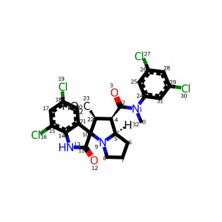 CN(C(=O)[C@H]1[C@H]2CCCN2C2(C(=O)Nc3c(Cl)cc(Cl)cc32)[C@H]1C(=O)O)c1cc(Cl)cc(Cl)c1